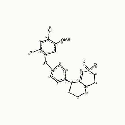 COc1cc(Oc2ccc([C@@H]3CCCN4CCS(=O)(=O)N=C34)cc2)c(F)cc1Cl